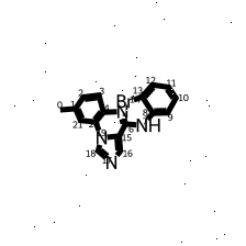 Cc1ccc2nc(Nc3ccccc3Br)c3cncn3c2c1